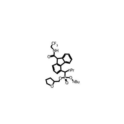 CCCCOP(=O)(OCC1CCCO1)C(CCC)c1cccc2c1-c1ccccc1C2C(=O)NCC(F)(F)F